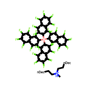 CCCCCCCCCCCC[NH+](C)CCCCCCCCCCCC.Fc1c(F)c(F)c2c(F)c([B-](c3c(F)c(F)c4c(F)c(F)c(F)c(F)c4c3F)(c3c(F)c(F)c4c(F)c(F)c(F)c(F)c4c3F)c3c(F)c(F)c4c(F)c(F)c(F)c(F)c4c3F)c(F)c(F)c2c1F